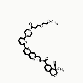 COCCOCCC(=O)N1CCN(c2cccc(-c3ccc4cnc(CNC(=O)c5ccc6c(c5)[C@](C)(C#N)COC6)cc4n3)n2)CC1